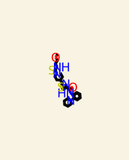 COCCNC(=S)N1CCC(c2nc(C(=O)Nc3ccccc3N3CCCCC3)cs2)CC1